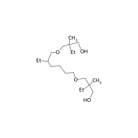 CCC(CCCCOCC(C)(CC)CO)COCC(C)(CC)CO